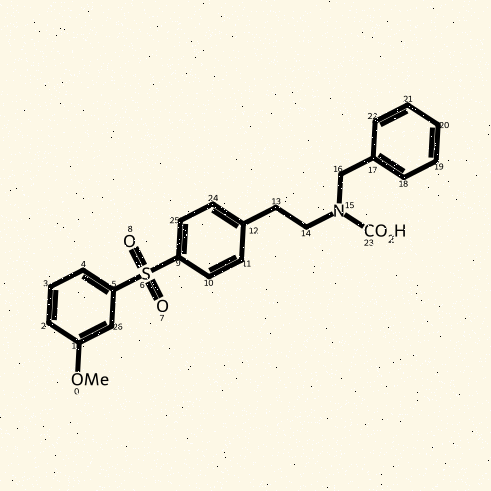 COc1cccc(S(=O)(=O)c2ccc(CCN(Cc3ccccc3)C(=O)O)cc2)c1